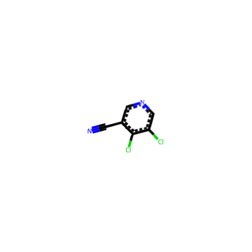 N#Cc1cncc(Cl)c1Cl